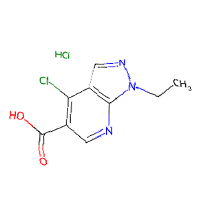 CCn1ncc2c(Cl)c(C(=O)O)cnc21.Cl